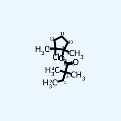 CCC(C)(C)C(=O)OC1(C)CCCC1(C)C